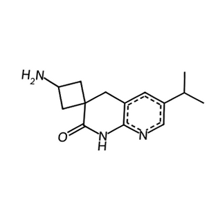 CC(C)c1cnc2c(c1)CC1(CC(N)C1)C(=O)N2